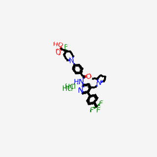 CC1CCCN1Cc1cc(NC(=O)c2ccc(N3CCC(F)(C(=O)O)CC3)cc2)ncc1-c1ccc(C(F)(F)F)cc1.Cl.Cl